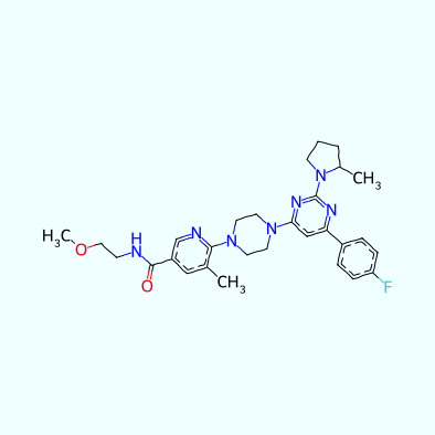 COCCNC(=O)c1cnc(N2CCN(c3cc(-c4ccc(F)cc4)nc(N4CCCC4C)n3)CC2)c(C)c1